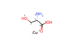 N[C@@H](CO)C(=O)O.[Cu]